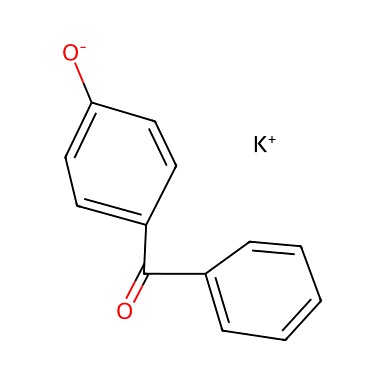 O=C(c1ccccc1)c1ccc([O-])cc1.[K+]